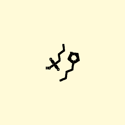 CCCCS(=O)(=O)O.CCCCn1ccnc1